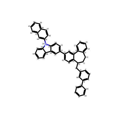 c1ccc(-c2cccc(CC3CCc4ccccc4-c4cc(-c5ccc6c(c5)c5ccccc5n6-c5ccc6ccccc6c5)ccc43)c2)cc1